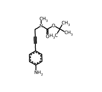 CN(CC#Cc1ccc(N)cc1)C(=O)OC(C)(C)C